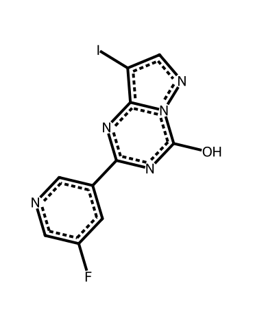 Oc1nc(-c2cncc(F)c2)nc2c(I)cnn12